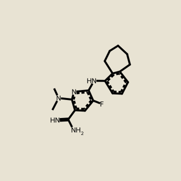 CN(C)c1nc(Nc2cccc3c2CCCCC3)c(F)cc1C(=N)N